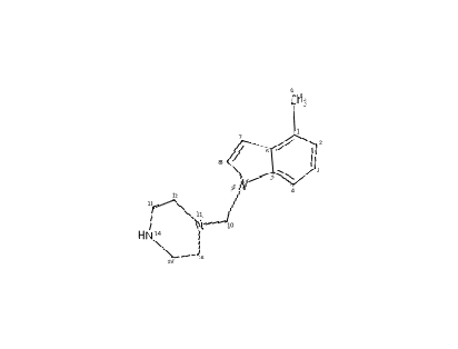 Cc1cccc2c1ccn2CN1CCNCC1